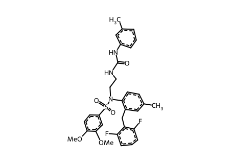 COc1ccc(S(=O)(=O)N(CCNC(=O)Nc2cccc(C)c2)c2ccc(C)cc2Cc2c(F)cccc2F)cc1OC